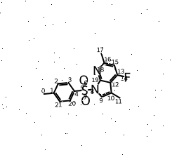 Cc1ccc(S(=O)(=O)n2cc(C)c3c(F)cc(C)nc32)cc1